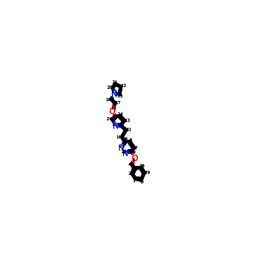 c1ccc(COc2ccc(CCc3ccc(OCCN4CCCC4)cn3)nn2)cc1